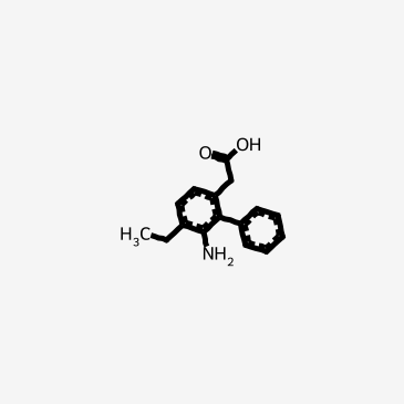 CCc1ccc(CC(=O)O)c(-c2ccccc2)c1N